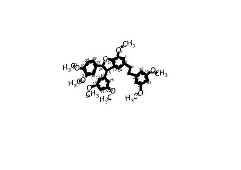 COc1cc(CCc2cc(OC)c3c(c2)C(c2cc(OC)cc(OC)c2)C(c2ccc(OC)c(OC)c2)O3)cc(OC)c1